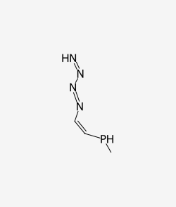 CP/C=C\N=NN=N